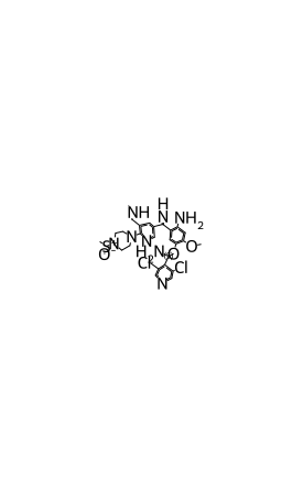 CNCc1cc(C(=N)c2cc(O[C@H](N)c3c(Cl)cncc3Cl)c(OC)cc2N)cnc1N1CCN([S+](C)[O-])CC1